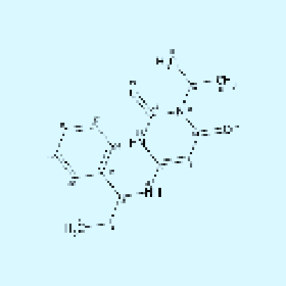 CCC(Nc1cc(=O)n(C(C)C)c(=O)[nH]1)c1ccccc1